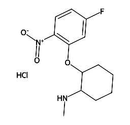 CNC1CCCCC1Oc1cc(F)ccc1[N+](=O)[O-].Cl